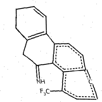 N=C1CC2=C(C=CCC2)c2ccc3cccc(C(F)(F)F)c3c21